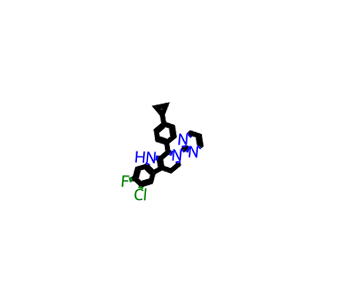 Fc1cc2[nH]c3c(c2cc1Cl)CCN(c1ncccn1)C3c1ccc(C2CC2)cc1